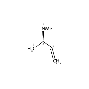 C=C[C@@H](C)NC